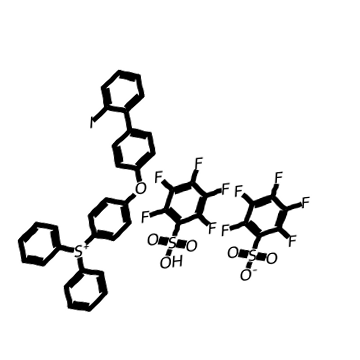 Ic1ccccc1-c1ccc(Oc2ccc([S+](c3ccccc3)c3ccccc3)cc2)cc1.O=S(=O)(O)c1c(F)c(F)c(F)c(F)c1F.O=S(=O)([O-])c1c(F)c(F)c(F)c(F)c1F